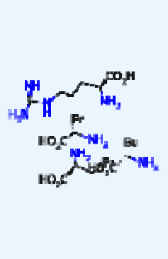 CC(C)C[C@H](N)C(=O)O.CC(C)[C@H](N)C(=O)O.CC[C@H](C)[C@H](N)C(=O)O.N=C(N)NCCC[C@H](N)C(=O)O